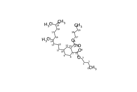 CCCCOC(=O)C1CCC(CCCC(C)CCCC(C)C)CC1C(=O)OCCCC